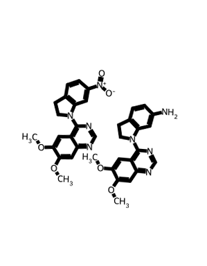 COc1cc2ncnc(N3CCc4ccc(N)cc43)c2cc1OC.COc1cc2ncnc(N3CCc4ccc([N+](=O)[O-])cc43)c2cc1OC